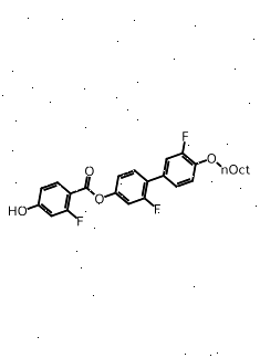 CCCCCCCCOc1ccc(-c2ccc(OC(=O)c3ccc(O)cc3F)cc2F)cc1F